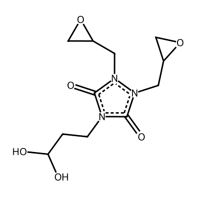 O=c1n(CCC(O)O)c(=O)n(CC2CO2)n1CC1CO1